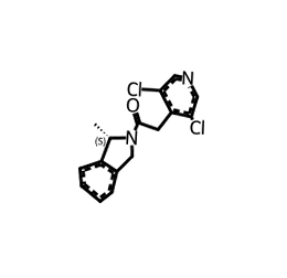 C[C@H]1c2ccccc2CN1C(=O)Cc1c(Cl)cncc1Cl